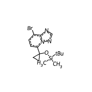 CC(C)(C)[Si](C)(C)OC1(c2ccc(Br)c3ncnn23)CC1